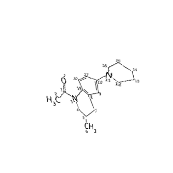 CC(=O)N1CC(C)Cc2cc(N3CCCCC3)ccc21